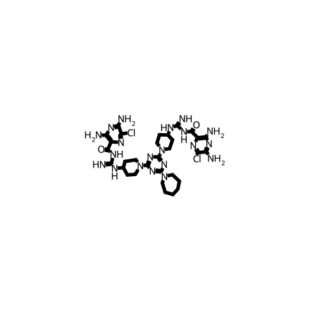 N=C(NC(=O)c1nc(Cl)c(N)nc1N)NC1CCN(c2nc(N3CCCCCC3)nc(N3CCC(NC(=N)NC(=O)c4nc(Cl)c(N)nc4N)CC3)n2)CC1